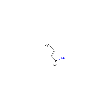 NC(C=C[N+](=O)[O-])[N+](=O)[O-]